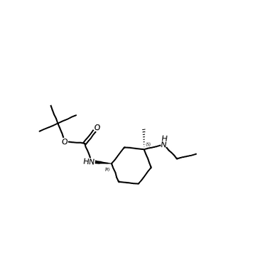 CCN[C@@]1(C)CCC[C@@H](NC(=O)OC(C)(C)C)C1